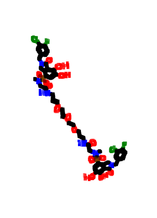 CN(CC(=O)NCCCOCCOCCOCCCNC(=O)CN(C)S(=O)(=O)c1cc(O)c(O)c2c1CN(Cc1ccc(F)c(Cl)c1)C2=O)S(=O)(=O)c1cc(O)c(O)c2c1CN(Cc1ccc(F)c(Cl)c1)C2=O